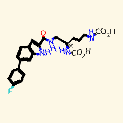 O=C(O)NCCC[C@H](CNC(=O)c1cc2ccc(-c3ccc(F)cc3)cc2[nH]1)NC(=O)O